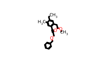 CCc1cc(CC(=O)OC)c(C#CCOCc2ccccc2)cc1C